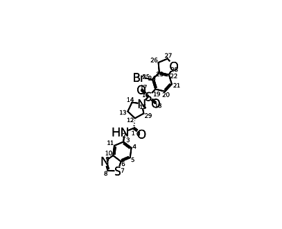 O=C(Nc1ccc2scnc2c1)[C@@H]1CCN(S(=O)(=O)c2ccc3c(c2Br)CCO3)C1